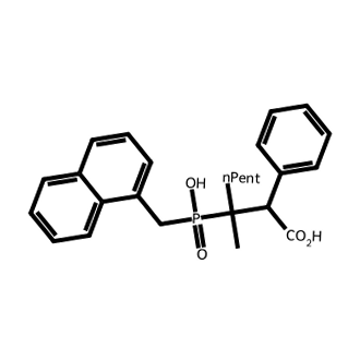 CCCCCC(C)(C(C(=O)O)c1ccccc1)P(=O)(O)Cc1cccc2ccccc12